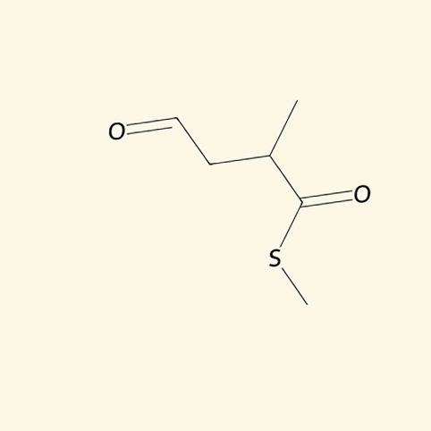 CSC(=O)C(C)CC=O